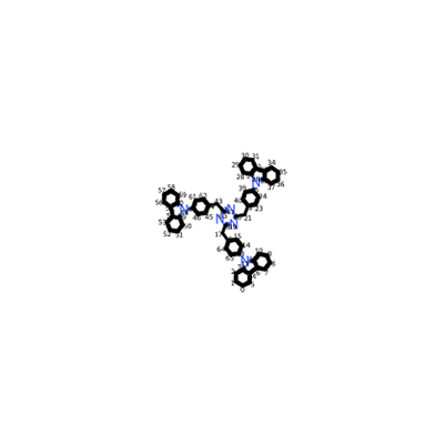 c1ccc2c(c1)c1ccccc1n2-c1ccc(Cc2nc(Cc3ccc(-n4c5ccccc5c5ccccc54)cc3)nc(Cc3ccc(-n4c5ccccc5c5ccccc54)cc3)n2)cc1